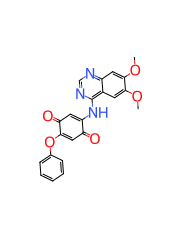 COc1cc2ncnc(NC3=CC(=O)C(Oc4ccccc4)=CC3=O)c2cc1OC